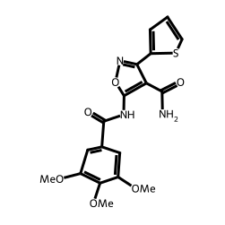 COc1cc(C(=O)Nc2onc(-c3cccs3)c2C(N)=O)cc(OC)c1OC